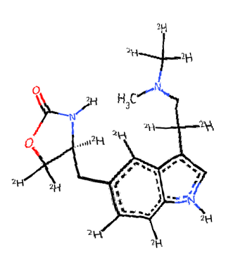 [2H]c1c(C[C@]2([2H])N([2H])C(=O)OC2([2H])[2H])c([2H])c2c(C([2H])([2H])CN(C)C([2H])([2H])[2H])cn([2H])c2c1[2H]